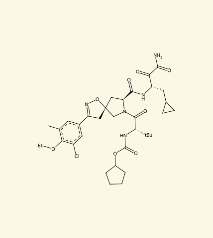 CCOc1c(C)cc(C2=NO[C@]3(C2)C[C@@H](C(=O)N[C@@H](CC2CC2)C(=O)C(N)=O)N(C(=O)[C@@H](NC(=O)OC2CCCC2)C(C)(C)C)C3)cc1Cl